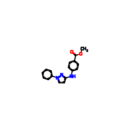 COC(=O)c1ccc(Nc2ccn(-c3ccccc3)n2)cc1